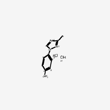 Cc1ncn(-c2ccc(N)cc2)n1.Cl.Cl